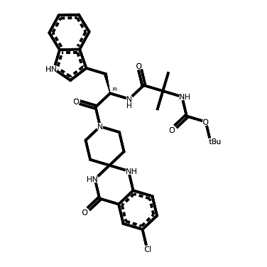 CC(C)(C)OC(=O)NC(C)(C)C(=O)N[C@H](Cc1c[nH]c2ccccc12)C(=O)N1CCC2(CC1)NC(=O)c1cc(Cl)ccc1N2